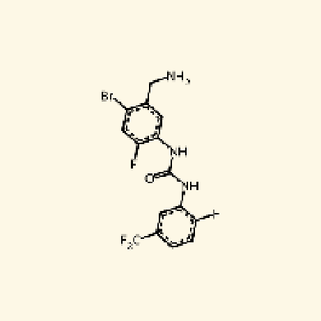 NCc1cc(NC(=O)Nc2cc(C(F)(F)F)ccc2F)c(F)cc1Br